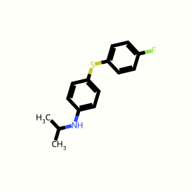 CC(C)Nc1ccc(Sc2ccc(F)cc2)cc1